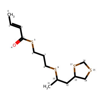 CC=CC(=O)SCCCSC(C)CC1CSCS1